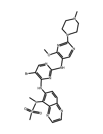 COc1nc(N2CCN(C)CC2)ncc1Nc1ncc(Br)c(Nc2ccc3nccnc3c2N(C)S(C)(=O)=O)n1